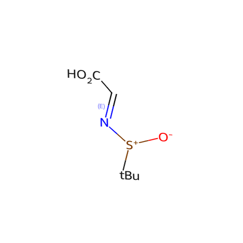 CC(C)(C)[S+]([O-])/N=C/C(=O)O